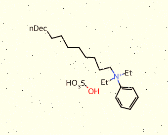 CCCCCCCCCCCCCCCCCC[N+](CC)(CC)c1ccccc1.O=S(=O)(O)O